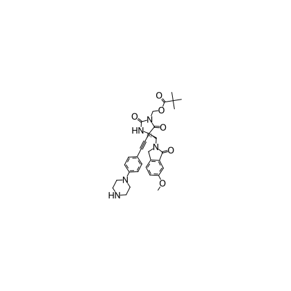 COc1ccc2c(c1)C(=O)N(C[C@@]1(C#Cc3ccc(N4CCNCC4)cc3)NC(=O)N(COC(=O)C(C)(C)C)C1=O)C2